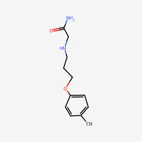 N#Cc1ccc(OCCCNCC(N)=O)cc1